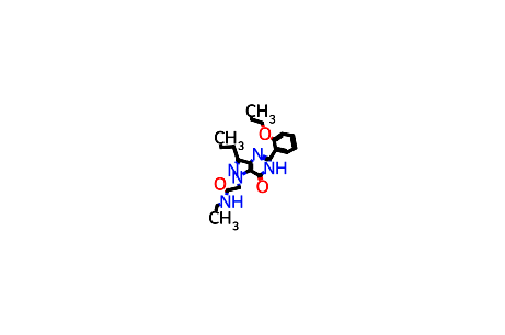 CCCOc1ccccc1-c1nc2c(CCC)nn(CC(=O)NCC)c2c(=O)[nH]1